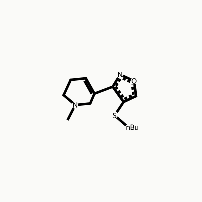 CCCCSc1conc1C1=CCCN(C)C1